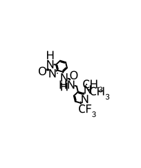 CN(C)c1nc(C(F)(F)F)ccc1CNC(=O)Nc1cccc2c1[N]C(=O)N2